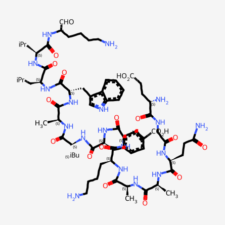 CC[C@H](C)[C@H](NC(=O)[C@H](Cc1ccccc1)NC(=O)[C@H](CCC(=O)O)NC(=O)[C@H](CCCCN)NC(=O)[C@H](C)NC(=O)[C@H](C)NC(=O)[C@H](CCC(N)=O)NC(=O)CNC(=O)[C@@H](N)CCC(=O)O)C(=O)N[C@@H](C)C(=O)N[C@@H](Cc1c[nH]c2ccccc12)C(=O)N[C@@H](CC(C)C)C(=O)N[C@H](C(=O)N[C](C=O)CCCCN)C(C)C